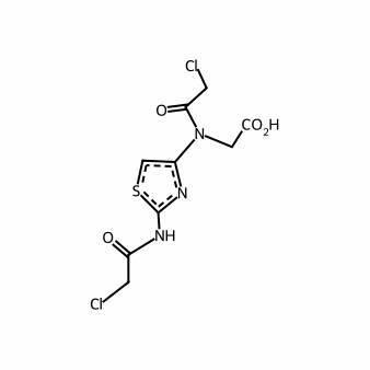 O=C(O)CN(C(=O)CCl)c1csc(NC(=O)CCl)n1